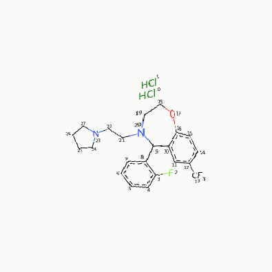 Cl.Cl.Fc1ccccc1C1c2cc(C(F)(F)F)ccc2OCCN1CCN1CCCC1